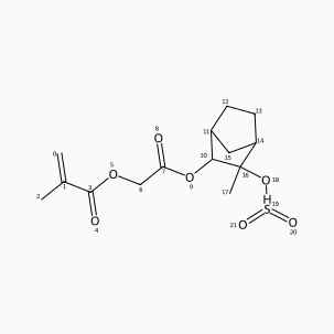 C=C(C)C(=O)OCC(=O)OC1C2CCC(C2)C1(C)O[SH](=O)=O